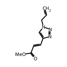 C=CCn1cc(/C=C/C(=O)OC)nn1